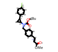 COC(=O)/C=C/c1ccc(CN(C(=O)OC(C)(C)C)C2CC2c2ccc(F)cc2)cc1